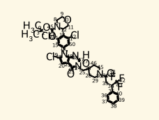 CC(C)(C)OC(=O)N1CCOC[C@H]1c1ccc(-n2c(Cl)cc3c(=O)n(CC4(O)CCN(C(=O)C[C@H](c5ccccc5)C(F)(F)F)CC4)cnc32)cc1Cl